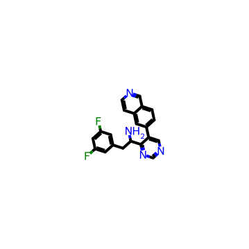 NC(Cc1cc(F)cc(F)c1)c1ncncc1-c1ccc2cnccc2c1